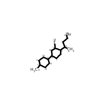 CCC(C)CCC(C)C1CCC(C2CCC(C)CC2)CC1F